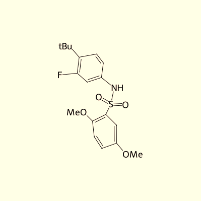 COc1ccc(OC)c(S(=O)(=O)Nc2ccc(C(C)(C)C)c(F)c2)c1